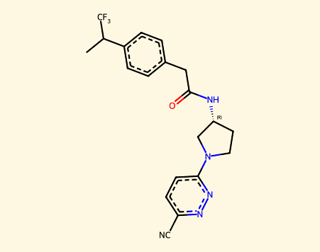 CC(c1ccc(CC(=O)N[C@@H]2CCN(c3ccc(C#N)nn3)C2)cc1)C(F)(F)F